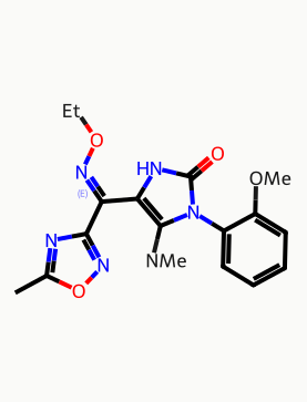 CCO/N=C(/c1noc(C)n1)c1[nH]c(=O)n(-c2ccccc2OC)c1NC